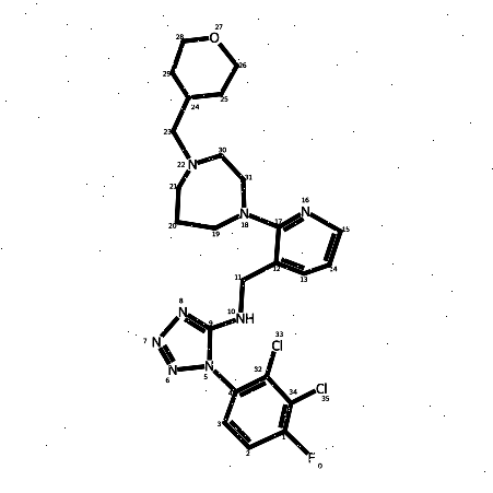 Fc1ccc(-n2nnnc2NCc2cccnc2N2CCCN(CC3CCOCC3)CC2)c(Cl)c1Cl